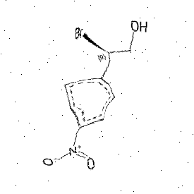 O=[N+]([O-])c1ccc([C@@H](Br)CO)cc1